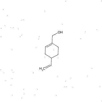 C=CC1CC=C(CO)CC1